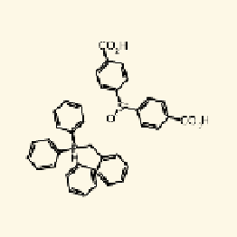 O=C(O)c1ccc([S+]([O-])c2ccc(C(=O)O)cc2)cc1.c1ccc(C[PH](c2ccccc2)(c2ccccc2)c2ccccc2)cc1